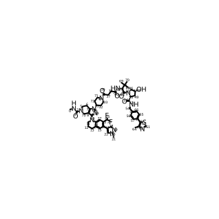 CNC(=O)N1CCc2c(c(N3CCCc4cc(-c5cnn(C)c5)c(C(F)F)cc43)nn2C2CCN(C(=O)CCC(=O)N[C@H](C(=O)N3C[C@H](O)C[C@H]3C(=O)NCc3ccc(-c4scnc4C)cc3)C(C)(C)C)CC2)C1